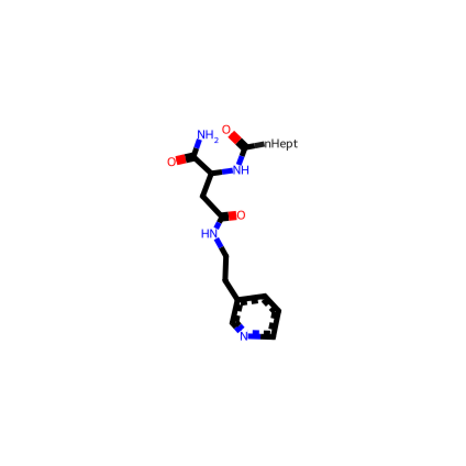 CCCCCCCC(=O)NC(CC(=O)NCCc1cccnc1)C(N)=O